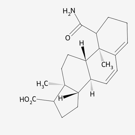 C[C@]12CC[C@H]3[C@@H](C=CC4=CCCC(C(N)=O)[C@@]43C)[C@@H]1CCC2C(=O)O